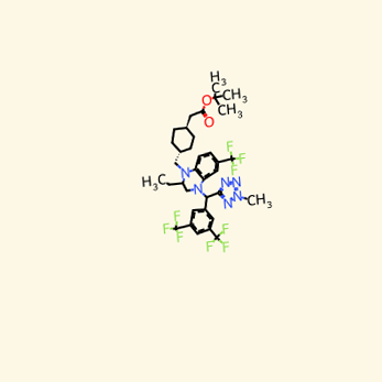 CCC1CN(C(c2cc(C(F)(F)F)cc(C(F)(F)F)c2)c2nnn(C)n2)c2cc(C(F)(F)F)ccc2N1C[C@H]1CC[C@H](CC(=O)OC(C)(C)C)CC1